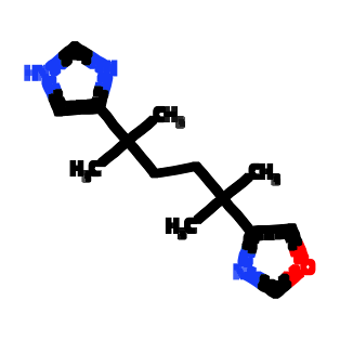 CC(C)(CCC(C)(C)c1cocn1)c1c[nH]cn1